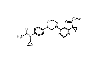 COC(=O)C1(c2cc(N3CCOC(c4ccc(N(C(N)=O)C5CC5)cc4)C3)ncn2)CC1